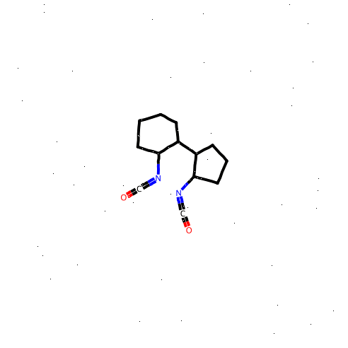 O=C=NC1CCCCC1C1CCCC1N=C=O